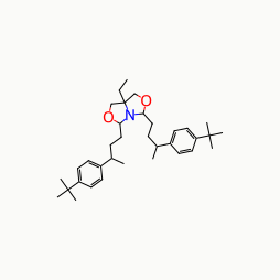 CCC12COC(CCC(C)c3ccc(C(C)(C)C)cc3)N1C(CCC(C)c1ccc(C(C)(C)C)cc1)OC2